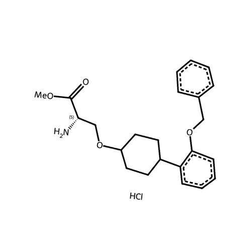 COC(=O)[C@@H](N)COC1CCC(c2ccccc2OCc2ccccc2)CC1.Cl